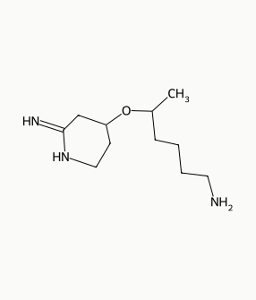 CC(CCCCN)OC1CCNC(=N)C1